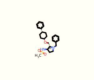 CS(=O)(=O)NC1CCN(Cc2ccccc2)[C@H]1CO[C@H]1CC[C@@H](c2ccccc2)CC1